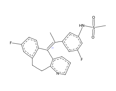 C/C(=C1\c2ccc(F)cc2CCc2ncccc21)c1cc(F)cc(NS(C)(=O)=O)c1